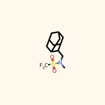 CN(CC1C2CC3CC(C2)CC1C3)S(=O)(=O)C(F)(F)F